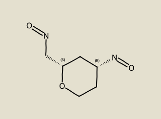 O=NC[C@@H]1C[C@H](N=O)CCO1